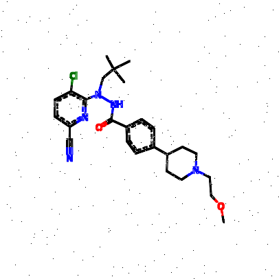 COCCN1CCC(c2ccc(C(=O)NN(CC(C)(C)C)c3nc(C#N)ccc3Cl)cc2)CC1